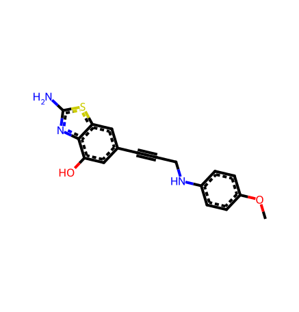 COc1ccc(NCC#Cc2cc(O)c3nc(N)sc3c2)cc1